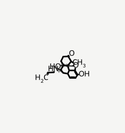 C=CCN[C@@H]1CC2C=CC(O)=C3OC4C(=O)CC[C@]1(O)[C@@]4(CC)C32